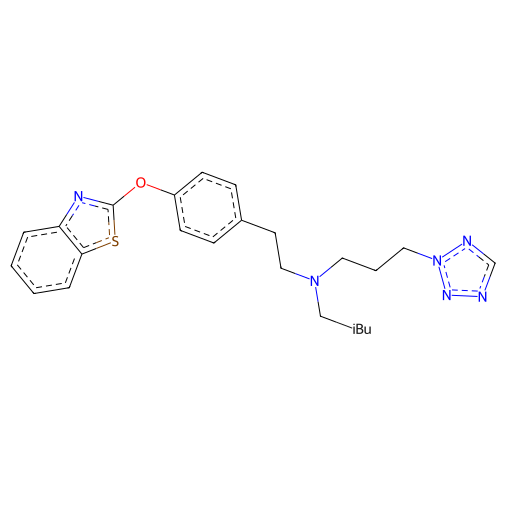 CCC(C)CN(CCCn1ncnn1)CCc1ccc(Oc2nc3ccccc3s2)cc1